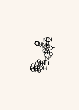 CC(C)CC(NC(=O)[C@@H](Cc1ccccc1)NC(=O)c1cnccn1)B1OCCN(CCNC(=O)CC(O)(C2O[C@@H]2O)P(=O)(O)O)CCO1